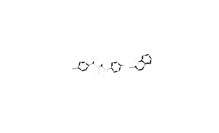 O=C(NC(=S)Nc1ccc(OCc2ccc3ccccc3n2)cc1)c1ccc(Cl)cc1